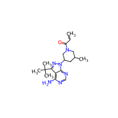 C=CC(=O)N1CC(C)CC(n2nc(C(C)(C)C)c3c(N)ncnc32)C1